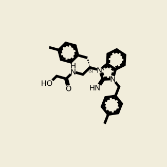 Cc1ccc(C[C@@H](CNC(=O)CO)n2c(=N)n(Cc3ccc(C)cc3)c3ccccc32)cc1